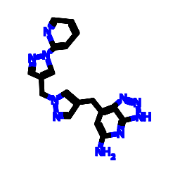 Nc1cc(Cc2cnn(Cc3cnn(-c4ccccn4)c3)c2)c2nn[nH]c2n1